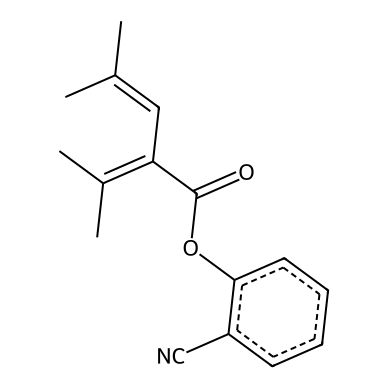 CC(C)=CC(C(=O)Oc1ccccc1C#N)=C(C)C